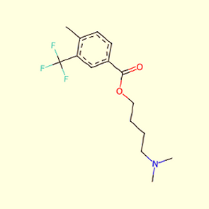 Cc1ccc(C(=O)OCCCCN(C)C)cc1C(F)(F)F